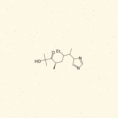 CCC(C[C@@H](C)C(=O)C(C)(C)O)C(C)C1C=NC=N1